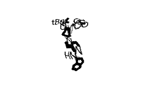 CC(C)(C)[Si](C)(C)O[C@H]1C[C@H](n2ccc3c(N[C@H]4CCc5ccccc54)nccc32)C[C@H]1COS(C)(=O)=O